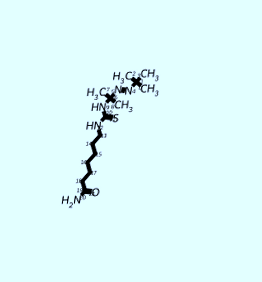 CC(C)(C)N=NC(C)(C)NC(=S)NCCCCCCC(N)=O